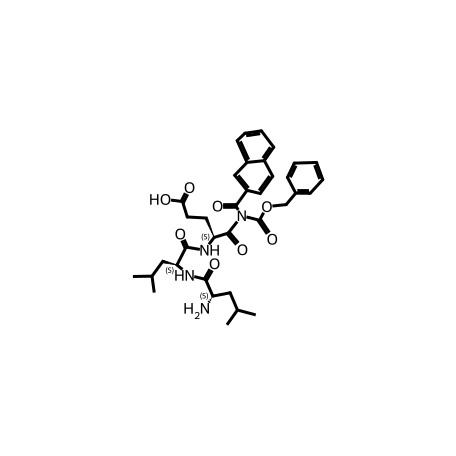 CC(C)C[C@H](NC(=O)[C@@H](N)CC(C)C)C(=O)N[C@@H](CCC(=O)O)C(=O)N(C(=O)OCc1ccccc1)C(=O)c1ccc2ccccc2c1